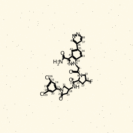 NC(=O)c1nn(CC(=O)N2CC(F)CC2C(=O)NC2CC(=O)N(c3cc(Cl)cc(Cl)c3)C2)c2ccc(-c3ccnnc3)cc12